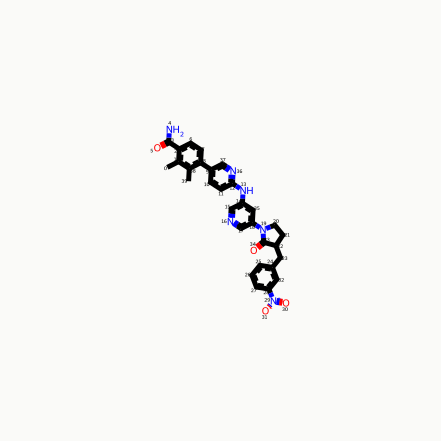 Cc1c(C(N)=O)ccc(-c2ccc(Nc3cncc(N4CCC(Cc5cccc([N+](=O)[O-])c5)C4=O)c3)nc2)c1C